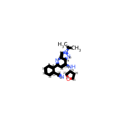 CC(C)n1cc2nc(-c3ccccc3C#N)cc(N[C@@H]3CCOC3)c2n1